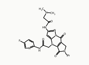 CC(C)N1Cc2c(n(CC(=O)Nc3ccc(F)cn3)c3cc(NC(=O)CN(C)C)nn3c2=O)C1=O